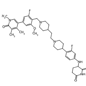 COc1cc(-c2cn(C)c(=O)c(C)c2C)cc(F)c1CN1CCC(CCN2CCC(c3ccc(NC4CCC(=O)NC4=O)cc3F)CC2)CC1